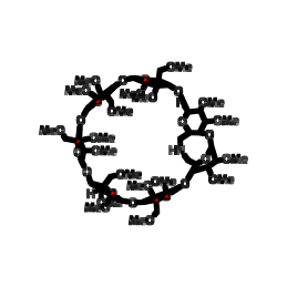 COCC1OC2OC3C(COC)OC(OC4C(COC)OC(OC5C(COC)OC(OC6C7CNCC8O[C@@H](OC9C(COC)OC(OC1C(OC)C2OC)C(OC)C9OC)C(OC)C(OC)C8OC(O7)C(OC)C6OC)C(OC)C5OC)C(OC)[C@@H]4OC)C(OC)C3OC